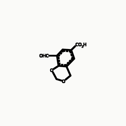 O=Cc1cc(C(=O)O)cc2c1OCOC2